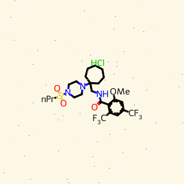 CCCS(=O)(=O)N1CCN(C2(CNC(=O)c3c(OC)cc(C(F)(F)F)cc3C(F)(F)F)CCCCCC2)CC1.Cl